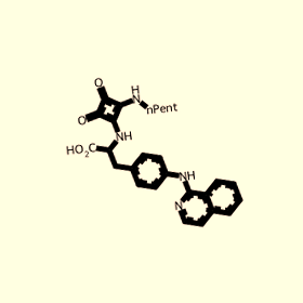 CCCCCNc1c(NC(Cc2ccc(Nc3nccc4ccccc34)cc2)C(=O)O)c(=O)c1=O